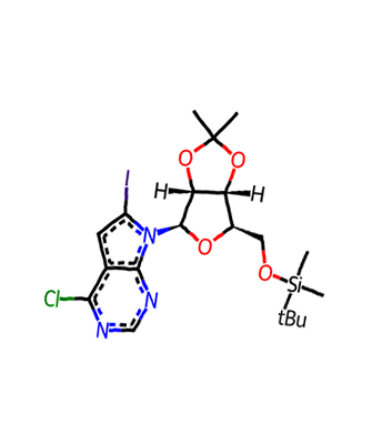 CC1(C)O[C@@H]2[C@H](O1)[C@@H](CO[Si](C)(C)C(C)(C)C)O[C@H]2n1c(I)cc2c(Cl)ncnc21